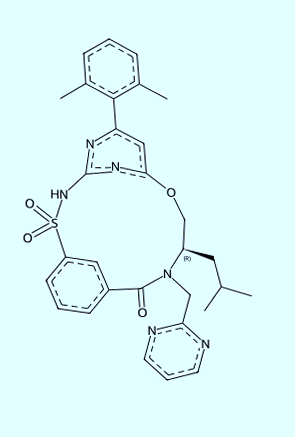 Cc1cccc(C)c1-c1cc2nc(n1)NS(=O)(=O)c1cccc(c1)C(=O)N(Cc1ncccn1)[C@H](CC(C)C)CO2